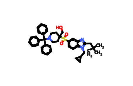 CC(C)(C)Cc1nc2cc(S(=O)(=O)C3(CO)CCN(C(c4ccccc4)(c4ccccc4)c4ccccc4)CC3)ccc2n1CC1CC1